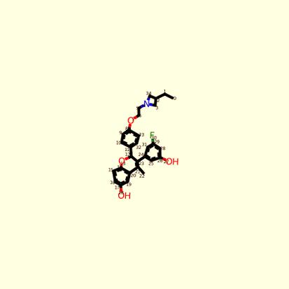 CCC1CN(CCOc2ccc(C3Oc4ccc(O)cc4C(C)=C3c3cc(O)cc(F)c3)cc2)C1